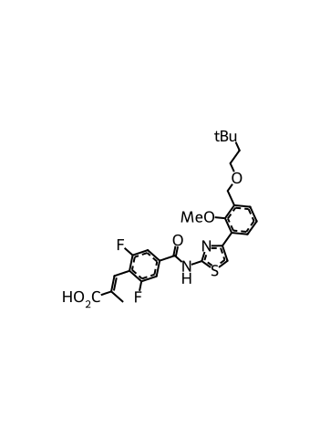 COc1c(COCCC(C)(C)C)cccc1-c1csc(NC(=O)c2cc(F)c(/C=C(\C)C(=O)O)c(F)c2)n1